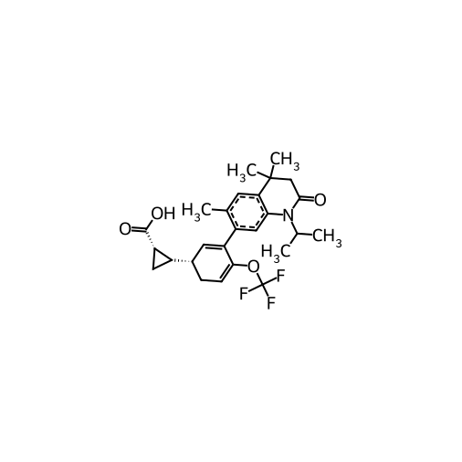 Cc1cc2c(cc1C1=C[C@@H](C3C[C@@H]3C(=O)O)CC=C1OC(F)(F)F)N(C(C)C)C(=O)CC2(C)C